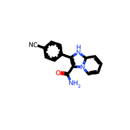 N#Cc1ccc(C2=C(C(N)=O)N3C=CC=CC3N2)cc1